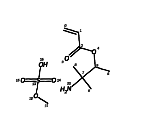 C=CC(=O)OC(C)C(C)(C)N.COS(=O)(=O)O